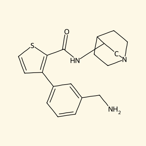 NCc1cccc(-c2ccsc2C(=O)NC2CN3CCC2CC3)c1